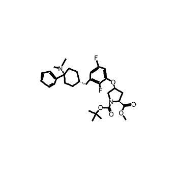 COC(=O)[C@@H]1C[C@H](Oc2cc(F)cc(C[C@H]3CC[C@](c4ccccc4)(N(C)C)CC3)c2F)CN1C(=O)OC(C)(C)C